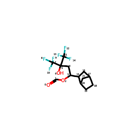 O=COC(CC(O)(C(F)(F)F)C(F)(F)F)C1CC2CCC1C2